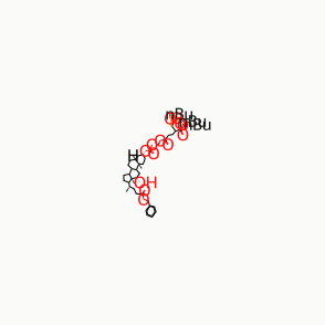 CCCCOC(=O)C(CCC(=O)OCOC(=O)O[C@@H]1CC[C@]2(C)C3C[C@H](O)[C@@]4(C)C(CCC4[C@H](C)CCC(=O)OCc4ccccc4)C3CC[C@@H]2C1)CP(=O)(OCCCC)OCCCC